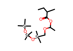 CCC(C)C(=O)OC(C)OC[Si](C)(C)O[Si](C)(C)O[Si](C)(C)C